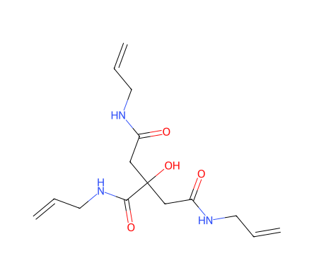 C=CCNC(=O)CC(O)(CC(=O)NCC=C)C(=O)NCC=C